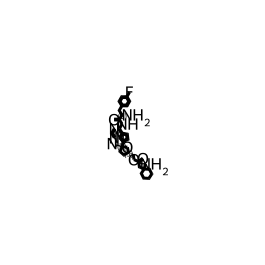 N#C[C@]1(c2ccc3c(NC(=O)[C@@H](N)Cc4ccc(F)cc4)ncnn23)CC[C@@H](COC(=O)CC2(N)CCCCC2)O1